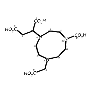 O=C(O)CC(C(=O)O)N1CCN(CC(=O)O)CCN(C(=O)O)CC1